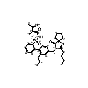 CCCCC1=NC2(CCCC2)C(=O)N1Cc1ccc(-c2ccccc2S(=O)(=O)Nc2onc(C)c2C)c(CCC)c1